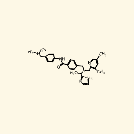 CCCN(CCC)Cc1ccc(NC(=O)c2ccc(CN(Cc3ncc(C)cc3C)C(C)c3ncc[nH]3)cc2)cc1